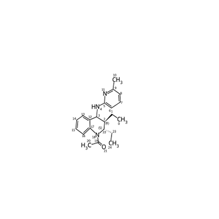 CC[C@@H]1C(Nc2cccc(C)n2)c2ccccc2N(C(C)=O)[C@H]1CC